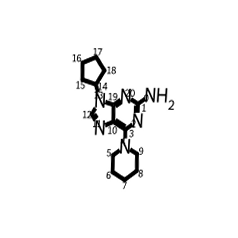 Nc1nc(N2CCCCC2)c2ncn(C3CCCC3)c2n1